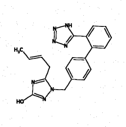 C/C=C/Cc1nc(O)nn1Cc1ccc(-c2ccccc2-c2nnn[nH]2)cc1